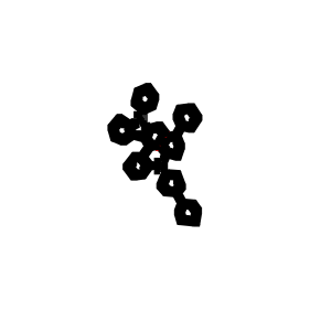 c1ccc(-c2ccc(N(c3ccc(-c4ccccc4)cc3)c3ccccc3-c3cccc4c3c3ccccc3n4-c3ccccc3)cc2)cc1